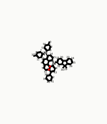 Cc1ccc(N(c2ccc(C)cc2)c2ccc(N(C3=CC=C4c5ccccc5C(C)(C)C4C3)c3ccc(-c4ccccc4)cc3)c3c2ccc2ccccc23)cc1